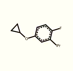 CC(C)c1cc(OC2CC2)ccc1F